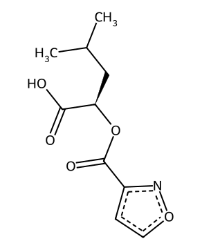 CC(C)C[C@@H](OC(=O)c1ccon1)C(=O)O